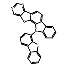 c1ccc2c(c1)sc1c(-n3c4ccccc4c4ccc5c6ncncc6sc5c43)cccc12